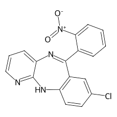 O=[N+]([O-])c1ccccc1C1=Nc2cccnc2Nc2ccc(Cl)cc21